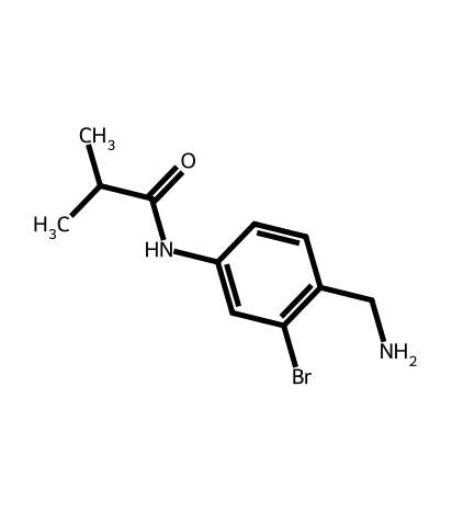 CC(C)C(=O)Nc1ccc(CN)c(Br)c1